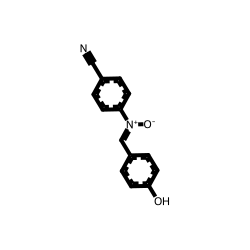 N#Cc1ccc([N+]([O-])=Cc2ccc(O)cc2)cc1